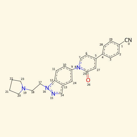 N#Cc1ccc(-c2ccn(-c3ccc4c(cnn4CCN4CCCC4)c3)c(=O)c2)cc1